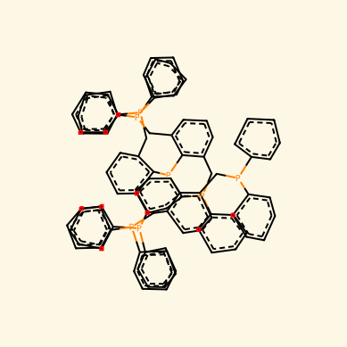 c1ccc(P(Cc2cccc(CP(c3ccccc3)c3ccccc3)c2P(c2c(CP(c3ccccc3)c3ccccc3)cccc2CP(c2ccccc2)c2ccccc2)c2c(CP(c3ccccc3)c3ccccc3)cccc2CP(c2ccccc2)c2ccccc2)c2ccccc2)cc1